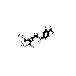 CC(C)c1cc(C(=O)Nc2ccc(C(=O)O)c(F)c2)sc1C(C)C